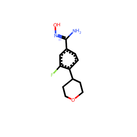 N/C(=N\O)c1ccc(C2CCOCC2)c(F)c1